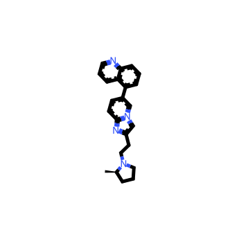 C[C@@H]1CCCN1CCc1cn2cc(-c3cccc4ncccc34)ccc2n1